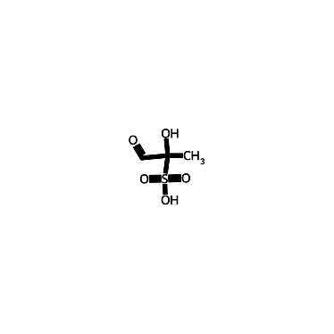 CC(O)(C=O)S(=O)(=O)O